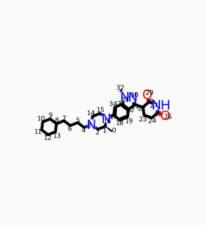 C[C@H]1CN(CCCCC2CCCCC2)CCN1c1ccc2c(C3CCC(=O)NC3=O)nn(C)c2c1